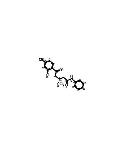 O=C(C[C@@H](CC(=O)c1ccc(Cl)cc1Cl)C(Cl)(Cl)Cl)Nc1ccccc1